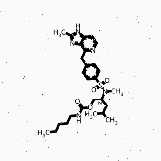 CCCCCNC(=O)OC[C@H](CC(C)C)N(C)S(=O)(=O)c1ccc(Cc2nccc3[nH]c(C)nc23)cc1